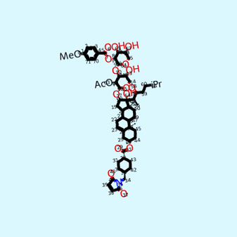 COc1ccc(C(=O)O[C@H]2[C@H](O[C@H]3[C@@H](O)COC(O[C@H]4CC5C6CC=C7C[C@@H](OC(=O)[C@H]8CC[C@H](CN9C(=O)C=CC9=O)CC8)CC[C@]7(C)C6CC[C@]5(C)[C@@]4(O)[C@H](C)C(=O)CCC(C)C)[C@@H]3OC(C)=O)OC[C@@H](O)[C@@H]2O)cc1